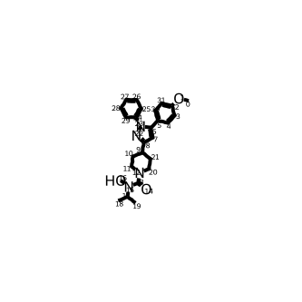 COc1ccc(-c2cc(C3CCN(C(=O)N(O)C(C)C)CC3)nn2-c2ccccc2)cc1